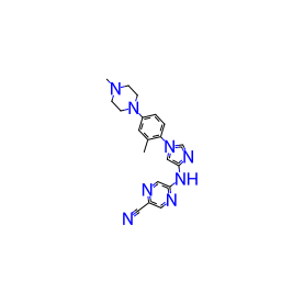 Cc1cc(N2CCN(C)CC2)ccc1-n1cnc(Nc2cnc(C#N)cn2)c1